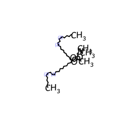 CCCCC/C=C\C/C=C\CCCCCCCCC1(CCCCCCCC/C=C\C/C=C\CCCCC)OC2C(C)OC(CN(C)C)C2O1